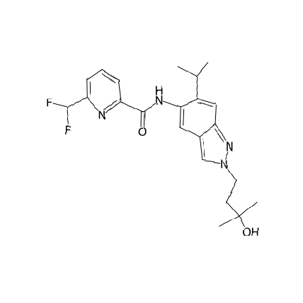 CC(C)c1cc2nn(CCC(C)(C)O)cc2cc1NC(=O)c1cccc(C(F)F)n1